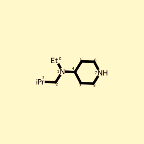 CCN(CC(C)C)C1CCNCC1